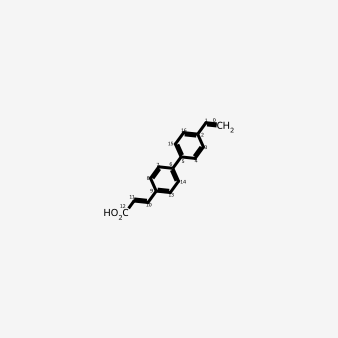 C=Cc1ccc(-c2ccc(C=CC(=O)O)cc2)cc1